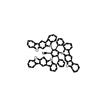 N#Cc1c(-n2c3ccccc3c3cc4c(cc32)oc2ccccc24)c(-c2ccccc2)c(-n2c3ccccc3c3cc4c(cc32)oc2ccccc24)c(-c2ccccc2)c1-n1c2ccccc2c2cc3c(cc21)oc1ccccc13